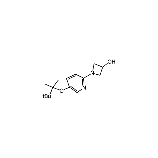 CC(C)(C)C(C)(C)Oc1ccc(N2CC(O)C2)nc1